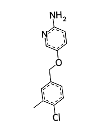 Cc1cc(COc2ccc(N)nc2)ccc1Cl